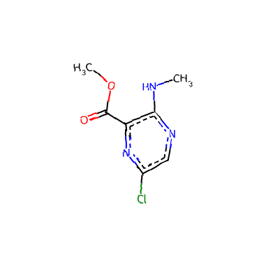 CNc1ncc(Cl)nc1C(=O)OC